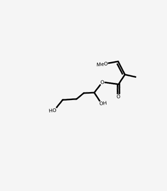 COC=C(C)C(=O)OC(O)CCCO